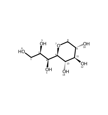 OC[C@@H](O)[C@H](O)[C@H]1O[CH][C@H](O)[C@@H](O)[C@@H]1O